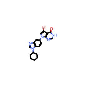 O=c1[nH]cnc2c1c(Br)cn2-c1ccc2c(c1)ncn2C1CCCCC1